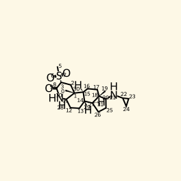 C[C@]12C[C@@H](S(C)(=O)=O)C(=O)N[C@@H]1CC[C@@H]1[C@@H]2CC[C@]2(C)[C@@H](NC3CC3)CC[C@@H]12